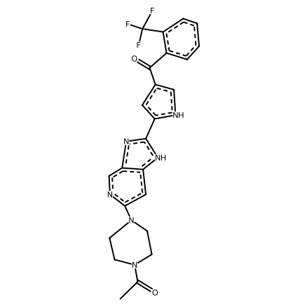 CC(=O)N1CCN(c2cc3[nH]c(-c4cc(C(=O)c5ccccc5C(F)(F)F)c[nH]4)nc3cn2)CC1